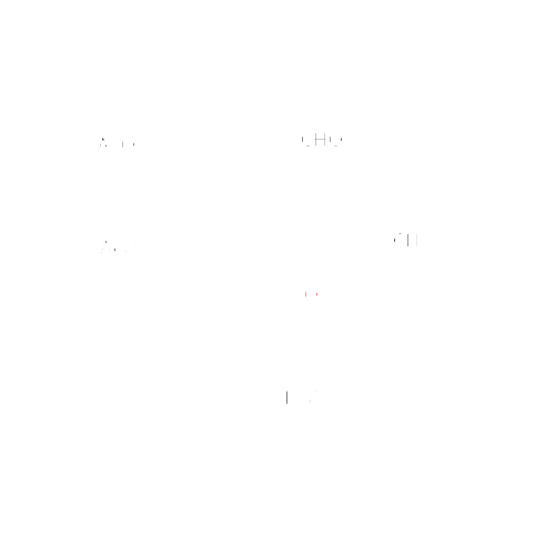 CC(=O)Oc1cc(C=O)c(COc2c(C)cccc2C)cc1OC(C)=O